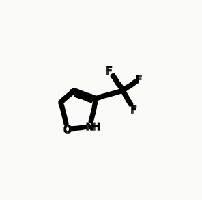 FC(F)(F)C1=[C]CON1